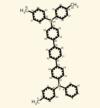 Cc1ccc(N(c2ccccc2)c2ccc(-c3ccc(-c4ccc(N(c5ccc(C)cc5)c5ccc(C)cc5)cc4)cc3)cc2)cc1